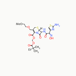 CCC(C)(C)C(=O)OCOC(=O)C1=C(COCCOC)CS[C@@H]2C(NC(=O)/C(=N\O)c3csc(N)n3)C(=O)N12